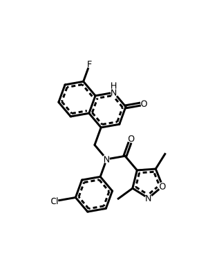 Cc1noc(C)c1C(=O)N(Cc1cc(=O)[nH]c2c(F)cccc12)c1cccc(Cl)c1